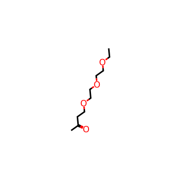 CCOCCOCCOCCC(C)=O